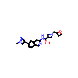 Cn1cc(-c2ccc3cnc(NC(O)C4CN(CC5CCO5)C4)cc3c2)cn1